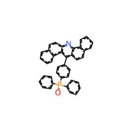 O=P(c1ccccc1)(c1ccccc1)c1ccc(-c2c3ccc4ccccc4c3nc3ccc4ccccc4c23)cc1